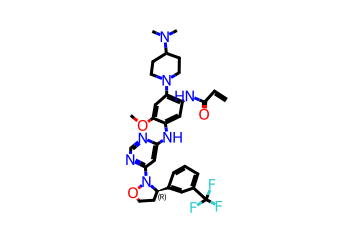 C=CC(=O)Nc1cc(Nc2cc(N3OCC[C@@H]3c3cccc(C(F)(F)F)c3)ncn2)c(OC)cc1N1CCC(N(C)C)CC1